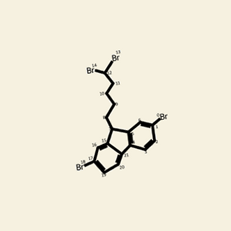 Brc1ccc2c(c1)C(CCCCC(Br)Br)c1cc(Br)ccc1-2